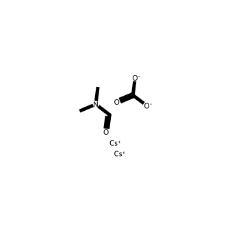 CN(C)C=O.O=C([O-])[O-].[Cs+].[Cs+]